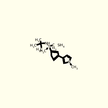 Cn1ccc(C2=CC[C]([Ti]([CH3])([CH3])[NH]C(C)(C)C)=C2)c1.[SiH4]